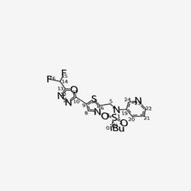 CC[C@H](C)S(=O)(=O)N(Cc1ncc(-c2nnc(C(F)F)o2)s1)c1cccnc1